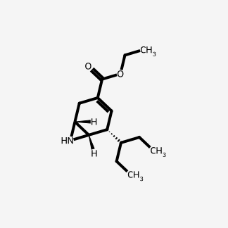 CCOC(=O)C1=C[C@H](C(CC)CC)[C@@H]2N[C@@H]2C1